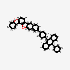 c1ccc(-c2c3ccccc3c(-c3ccc(-c4ccc5cc6c(cc5c4)oc4c6ccc5oc6ccccc6c54)cc3)c3ccccc23)cc1